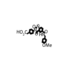 COc1ccc(CNC(=O)c2ccc3c(c2)c(=O)n(-c2ccc(CC(=O)O)cc2)c(=O)n3C)cc1